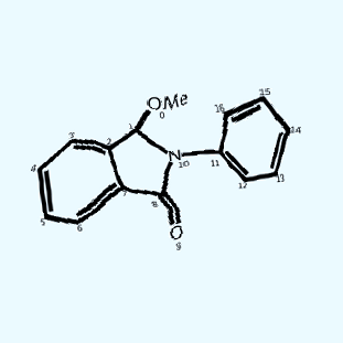 COC1c2ccccc2C(=O)N1c1ccccc1